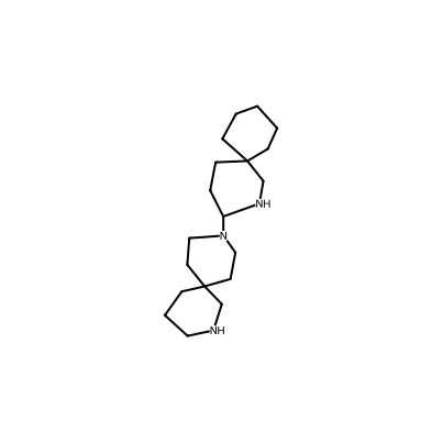 C1CCC2(CC1)CCC(N1CCC3(CCCNC3)CC1)NC2